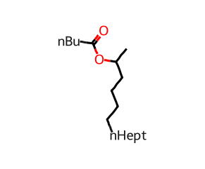 CCCCCCCCCCCC(C)OC(=O)CCCC